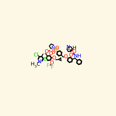 C[n+]1cc(Cl)c(C[C@H](OC(=O)[C@@H]2CCCN2S(=O)(=O)c2ccc(COc3cccc([C@@H](NC(=O)O[C@H]4CN5CCC4CC5)c4ccccc4)c3)cc2)c2ccc(OC(F)F)c(OCC3CC3)c2)c(Cl)c1